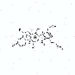 CCCC(=O)O[C@]1(C(=O)CO)CC[C@H]2[C@@H]3CC(F)C4=CC(=O)C=C[C@]4(C)[C@H]3C(O)C[C@@]21C